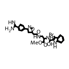 COC(=O)C(CNC(=O)CC1CC(c2ccc(C(=N)N)cc2)=NO1)NC(O)c1[nH]c2ccccc2c1Br